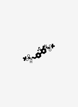 CN(C)c1c(-c2ccc(CCNC(=O)OC(C)(C)C)cc2)ccc2c1cnn2C(=O)OC(C)(C)C